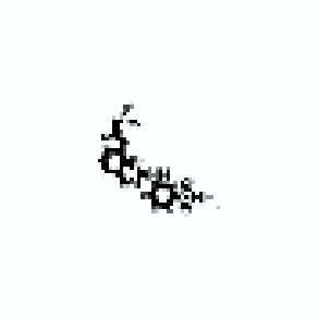 CN(C)Cc1cc2c(ccc3cnc(Nc4cccc(S(N)(=O)=O)c4)nc32)s1